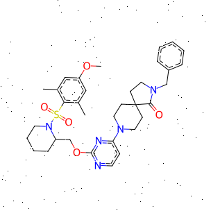 COc1cc(C)c(S(=O)(=O)N2CCCCC2COc2nccc(N3CCC4(CCN(Cc5ccccc5)C4=O)CC3)n2)c(C)c1